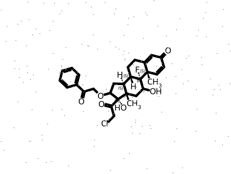 C[C@]12C=CC(=O)C=C1CC[C@H]1[C@@H]3CC(OCC(=O)c4ccccc4)[C@](O)(C(=O)CCl)[C@@]3(C)CC(O)[C@@]12F